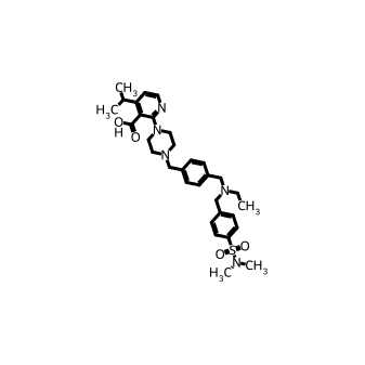 CCN(Cc1ccc(CN2CCN(c3nccc(C(C)C)c3C(=O)O)CC2)cc1)Cc1ccc(S(=O)(=O)N(C)C)cc1